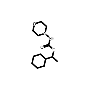 CC(OC(=O)NN1CCOCC1)C1CCCCC1